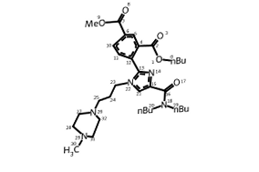 CCCCOC(=O)c1cc(C(=O)OC)ccc1-c1nc(C(=O)N(CCCC)CCCC)cn1CCCN1CCN(C)CC1